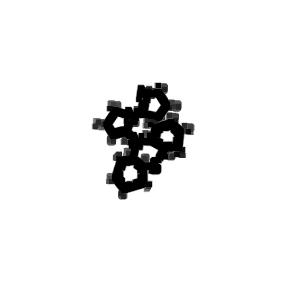 C1=C(N2c3ccccc3Sc3ccccc32)N(C2=NCCC2)CC1